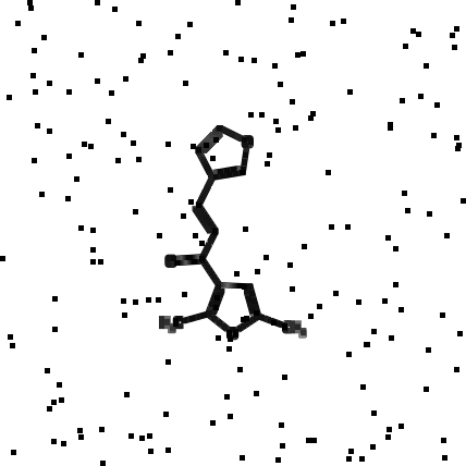 Cc1cc(C(=O)/C=C/c2ccoc2)c(C)o1